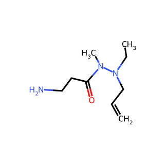 C=CCN(CC)N(C)C(=O)CCN